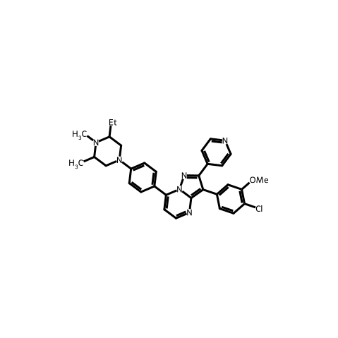 CCC1CN(c2ccc(-c3ccnc4c(-c5ccc(Cl)c(OC)c5)c(-c5ccncc5)nn34)cc2)CC(C)N1C